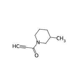 C#CC(=O)N1CCCC(C)C1